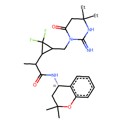 CCC1(CC)CC(=O)N(CC2C(C(C)C(=O)N[C@H]3CC(C)(C)Oc4ccccc43)C2(F)F)C(=N)N1